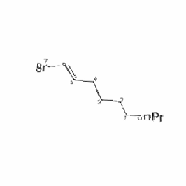 CCCCCCC/C=C/Br